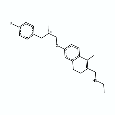 CCNCC1=C(C)c2ccc(OC[C@@H](C)Cc3ccc(F)cc3)cc2CC1